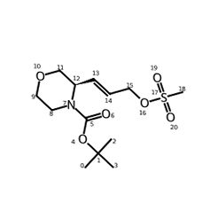 CC(C)(C)OC(=O)N1CCOC[C@H]1/C=C/COS(C)(=O)=O